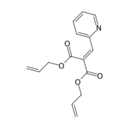 C=CCOC(=O)C(=Cc1ccccn1)C(=O)OCC=C